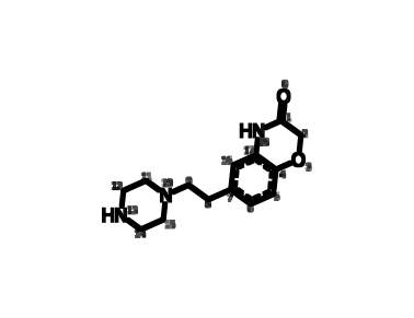 O=C1COc2ccc(CCN3CCNCC3)cc2N1